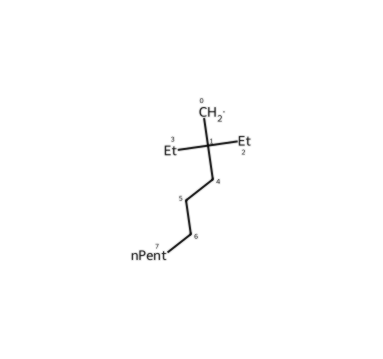 [CH2]C(CC)(CC)CCCCCCCC